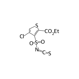 CCOC(=O)c1scc(Cl)c1S(=O)(=O)N=C=S